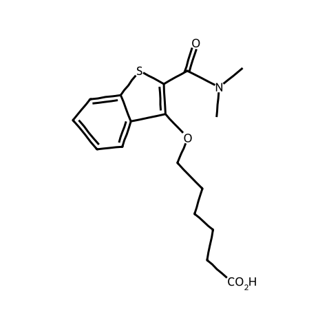 CN(C)C(=O)c1sc2ccccc2c1OCCCCCC(=O)O